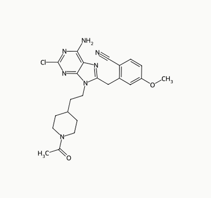 COc1ccc(C#N)c(Cc2nc3c(N)nc(Cl)nc3n2CCC2CCN(C(C)=O)CC2)c1